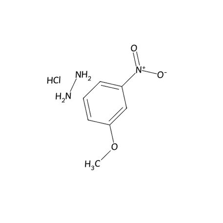 COc1cccc([N+](=O)[O-])c1.Cl.NN